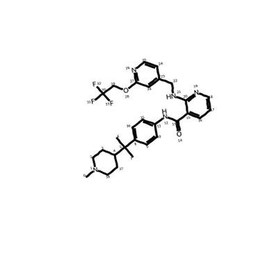 CN1CCC(C(C)(C)c2ccc(NC(=O)c3cccnc3NCc3ccnc(OCC(F)(F)F)c3)cc2)CC1